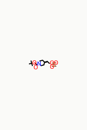 CC(C)(C)OC(=O)N1CCC(=CCOS(C)(=O)=O)CC1